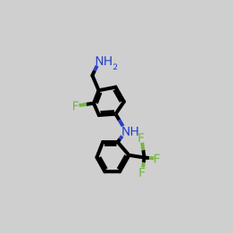 NCc1ccc(Nc2ccccc2C(F)(F)F)cc1F